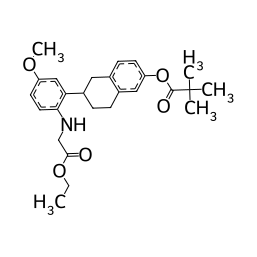 CCOC(=O)CNc1ccc(OC)cc1C1CCc2cc(OC(=O)C(C)(C)C)ccc2C1